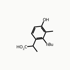 CCCCc1c(C(C)C(=O)O)ccc(O)c1C